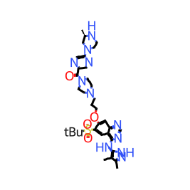 Cc1n[nH]c(Nc2ncnc3cc(OCCCN4CCN(C(=O)c5cnc(N6CCN[C@H](C)C6)cn5)CC4)c(S(=O)(=O)C(C)(C)C)cc23)c1C